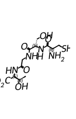 C[C@@H](O)[C@H](NC(=O)CNC(=O)[C@H](CO)NC(=O)[C@@H](N)CS)C(=O)O